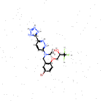 CCN(Cc1cc(Br)ccc1OCC(O)C(F)(F)F)c1ccc(-c2nnn[nH]2)nn1